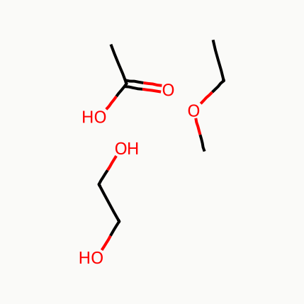 CC(=O)O.CCOC.OCCO